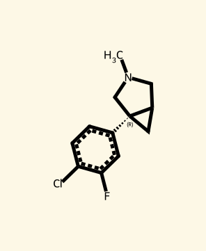 CN1CC2C[C@@]2(c2ccc(Cl)c(F)c2)C1